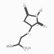 CCN1C(=O)CC(SCC(NC)C(=O)O)C1=O